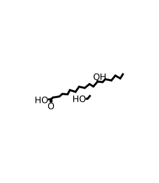 CCCCCCC(O)CCCCCCCCCCC(=O)O.CCO